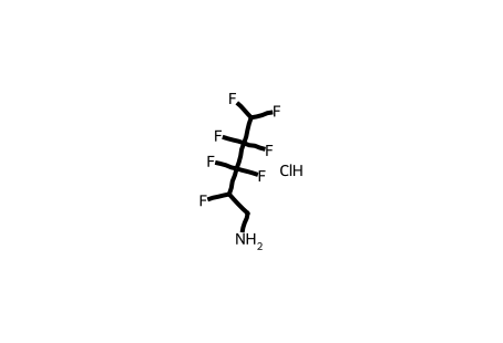 Cl.NCC(F)C(F)(F)C(F)(F)C(F)F